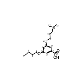 CCCCOc1cc(OCCCC(C)C)cc(C(=O)O)c1